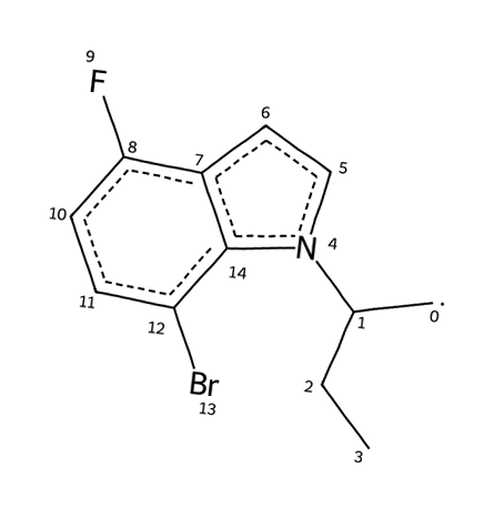 [CH2]C(CC)n1ccc2c(F)ccc(Br)c21